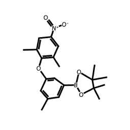 Cc1cc(Oc2c(C)cc([N+](=O)[O-])cc2C)cc(B2OC(C)(C)C(C)(C)O2)c1